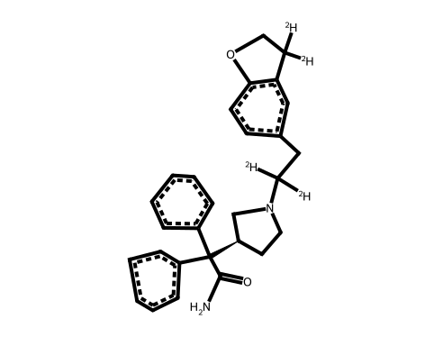 [2H]C1([2H])COc2ccc(CC([2H])([2H])N3CC[C@@H](C(C(N)=O)(c4ccccc4)c4ccccc4)C3)cc21